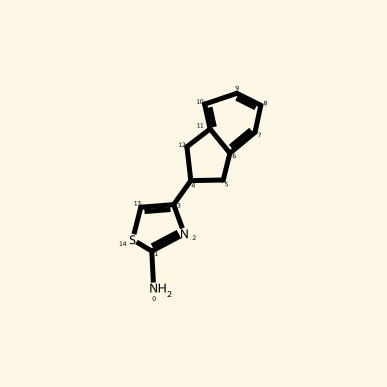 Nc1nc(C2Cc3ccccc3C2)cs1